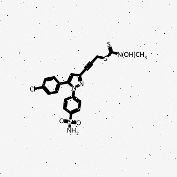 CN(O)C(=S)SCC#Cc1cc(-c2ccc(Cl)cc2)n(-c2ccc(S(N)(=O)=O)cc2)n1